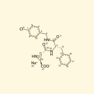 O=C(NCc1ccc(Cl)cc1)[C@H](Cc1ccccc1)NC(=O)[C@H]1N[C@@H]1C(=O)[O-].[Na+]